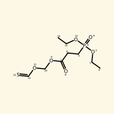 CCOP(=O)(CCC(=O)OCOC=S)OCC